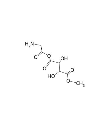 COC(=O)C(O)C(O)C(=O)OC(=O)CN